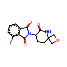 O=C1NC2(CCC1N1C(=O)c3cccc(F)c3C1=O)COC2